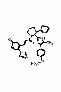 Cc1[nH]c(C2C(c3ccccc3)CCCN2C(=O)C=Cc2cc(Cl)ccc2-n2cnnn2)nc1-c1ccc(NC(=O)O)cc1